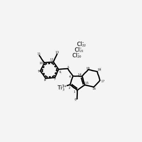 CC1=[C]([Ti+3])C(Cc2cccc(C)c2C)C2=C1CCCC2.[Cl-].[Cl-].[Cl-]